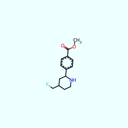 COC(=O)c1ccc(C2CC(CF)CCN2)cc1